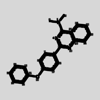 CN(C)c1nc(-c2ccc(Oc3ccccc3)cc2)nc2ccccc12